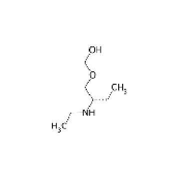 CCN[C@@H](CC)COCO